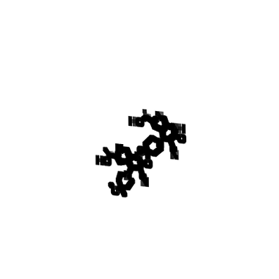 COC1(C)CCN(c2c(C#N)c(=O)n(OC3(C)CCN(c4c(C#N)c(=O)[nH]c5cnc([C@@H](C)O)cc45)CC3)c3cnc([C@H](C)O)cc23)CC1